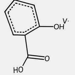 O=C(O)c1ccccc1O.[V]